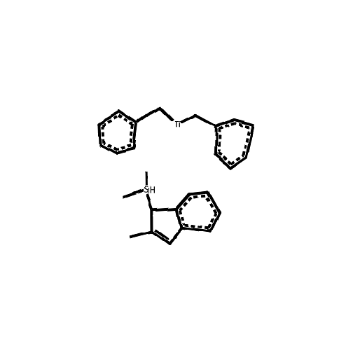 CC1=Cc2ccccc2C1[SiH](C)C.c1ccc([CH2][Ti][CH2]c2ccccc2)cc1